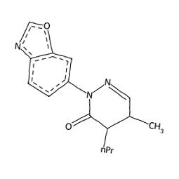 CCCC1C(=O)N(c2ccc3ncoc3c2)N=CC1C